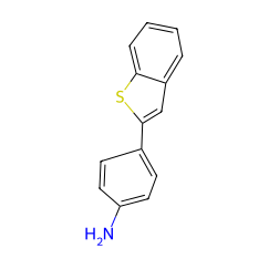 Nc1ccc(-c2cc3ccccc3s2)cc1